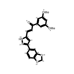 COc1cc(OC)cc(C(=O)C=Cc2cc(-c3ccc4c(c3)OCO4)n[nH]2)c1